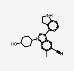 Cc1cc2c(cc1C#N)c(-c1cccc3c1CCN3)cn2C1CCC(O)CC1